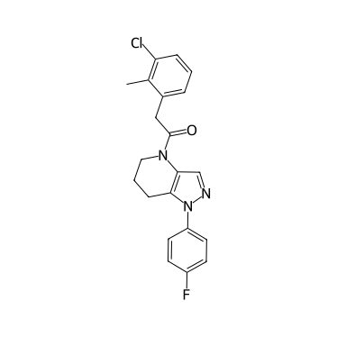 Cc1c(Cl)cccc1CC(=O)N1CCCc2c1cnn2-c1ccc(F)cc1